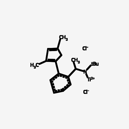 CC1=CC(C)=C(c2ccccc2C(C)[N]([Ti+2])C(C)(C)C)C1.[Cl-].[Cl-]